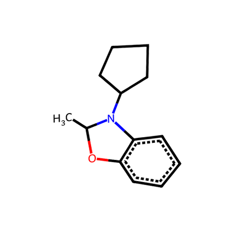 CC1Oc2ccccc2N1C1CCCC1